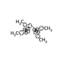 Cc1ccc(OP(=O)(OCc2ccccc2COP(=O)(Oc2ccc(C)cc2)Oc2ccc(C)cc2)Oc2ccc(C)cc2)cc1